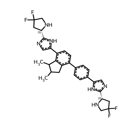 CC1Cc2c(-c3ccc(-c4cnc([C@@H]5CC(F)(F)CN5)[nH]4)cc3)ccc(-c3cnc([C@@H]4CC(F)(F)CN4)[nH]3)c2C1C